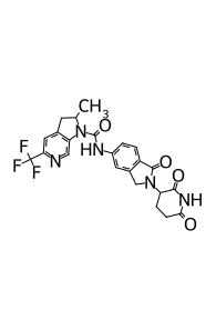 CC1Cc2cc(C(F)(F)F)ncc2N1C(=O)Nc1ccc2c(c1)CN(C1CCC(=O)NC1=O)C2=O